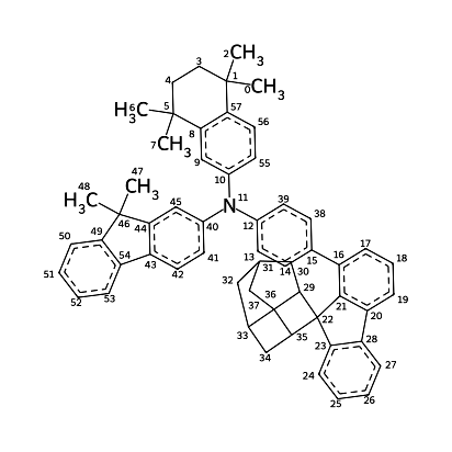 CC1(C)CCC(C)(C)c2cc(N(c3ccc(-c4cccc5c4C4(c6ccccc6-5)C5CC6CC7CC4C75C6)cc3)c3ccc4c(c3)C(C)(C)c3ccccc3-4)ccc21